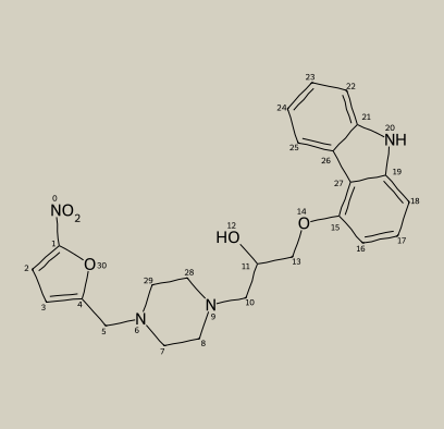 O=[N+]([O-])c1ccc(CN2CCN(CC(O)COc3cccc4[nH]c5ccccc5c34)CC2)o1